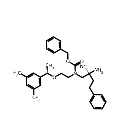 C[C@@H](OCCN(C[C@](N)(C#N)CCc1ccccc1)C(=O)OCc1ccccc1)c1cc(C(F)(F)F)cc(C(F)(F)F)c1